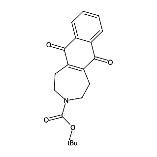 CC(C)(C)OC(=O)N1CCC2=C(CC1)C(=O)c1ccccc1C2=O